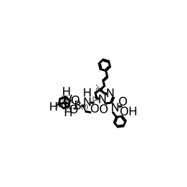 CC[C@H](NC(=O)[C@@H]1C[C@@](C)(CC=Cc2ccccc2)c2ncc(N(Cc3ccccc3)C(=O)O)c(=O)n21)B1O[C@@H]2C[C@@H]3C[C@@H](C3(C)C)[C@]2(C)O1